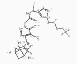 CC(NC(=O)Cn1ncc(N[C@@H]2C[C@@H]3C[C@H]([C@H]2C)C3(C)C)c(Cl)c1=O)c1cnn(COCC[Si](C)(C)C)c1